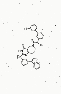 O=C([C@H](O)c1cccc(-c2cccc(Cl)c2)c1)N1CCCc2nc(C3(c4cccc(-c5csc6ccccc56)c4)CC3)[nH]c(=O)c2C1